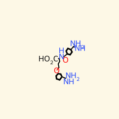 N=C(N)c1ccc(C(=O)NC(CCCOc2cccc(C(=N)N)c2)C(=O)O)cc1